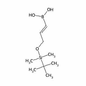 CC(C)(C)[Si](C)(C)OCC=CB(O)O